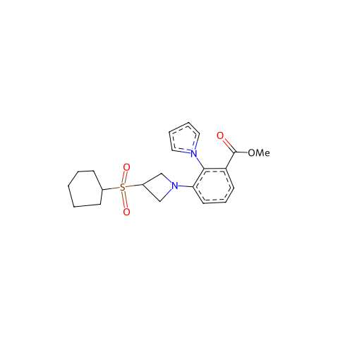 COC(=O)c1cccc(N2CC(S(=O)(=O)C3CCCCC3)C2)c1-n1cccc1